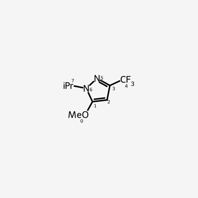 COc1cc(C(F)(F)F)nn1C(C)C